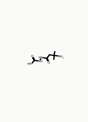 CCCC(=O)NNC(=O)CC(C)(C)N